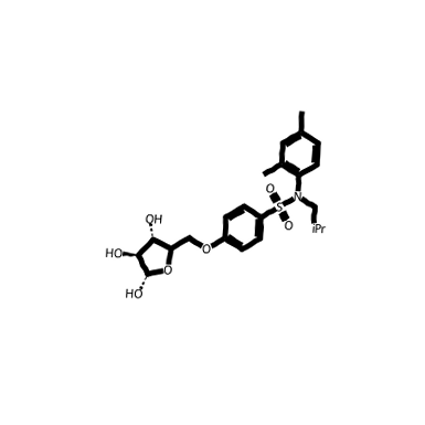 Cc1ccc(N(CC(C)C)S(=O)(=O)c2ccc(OCC3O[C@H](O)[C@@H](O)[C@@H]3O)cc2)c(C)c1